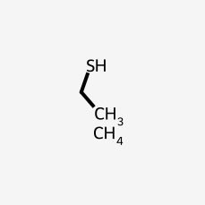 C.CCS